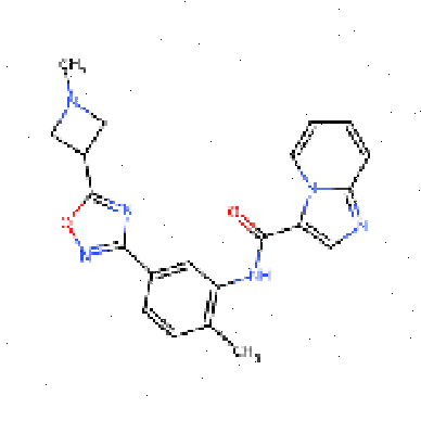 Cc1ccc(-c2noc(C3CN(C)C3)n2)cc1NC(=O)c1cnc2ccccn12